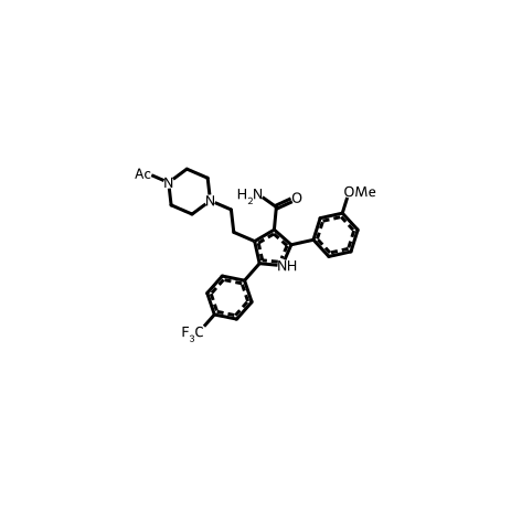 COc1cccc(-c2[nH]c(-c3ccc(C(F)(F)F)cc3)c(CCN3CCN(C(C)=O)CC3)c2C(N)=O)c1